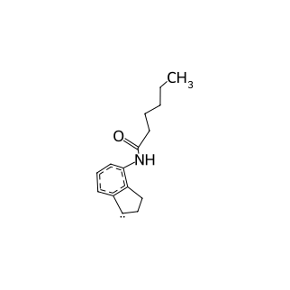 CCCCCC(=O)Nc1cccc2c1CC[C]2